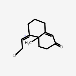 CC12CCC(=O)C=C1CCC/C2=C/CCl